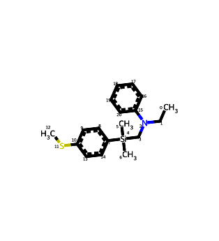 CCN(C[Si](C)(C)c1ccc(SC)cc1)c1ccccc1